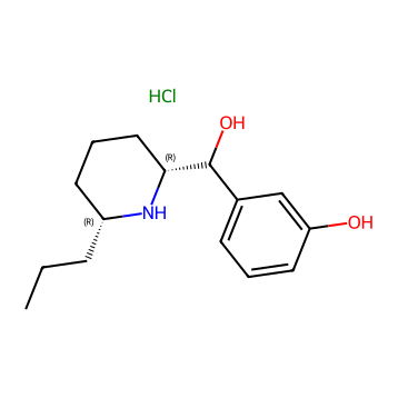 CCC[C@@H]1CCC[C@H](C(O)c2cccc(O)c2)N1.Cl